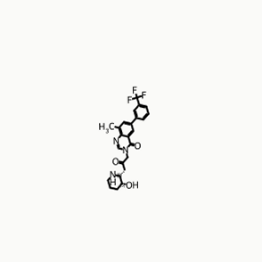 Cc1cc(-c2cccc(C(F)(F)F)c2)cc2c(=O)n(CC(=O)C[C@H]3NCCC[C@@H]3O)cnc12